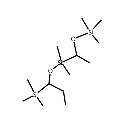 CCC(O[Si](C)(C)C(C)O[Si](C)(C)C)[Si](C)(C)C